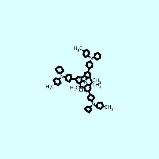 Cc1ccc(N(c2ccccc2)c2ccc(-c3cc4c5c(c3)C(C)(C)c3cc(-c6ccc(N(c7ccccc7)c7ccc(C)cc7)cc6)cc6c7cc(-c8ccc(N(c9ccccc9)c9ccc(C)cc9)cc8)cc(c7n-5c36)C4(C)C)cc2)cc1